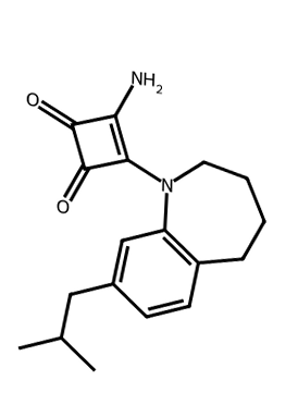 CC(C)Cc1ccc2c(c1)N(c1c(N)c(=O)c1=O)CCCC2